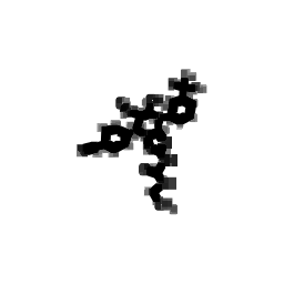 [C-]#[N+]C1=C(C)N(c2cccc(C(F)(F)F)c2)c2nc(NC(=O)NCC)nn2[C@@H]1c1ccc(C#N)cc1